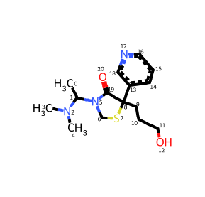 CC(N(C)C)N1CSC(CCCO)(c2cccnc2)C1=O